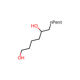 CCCCCCC(O)CCCCO